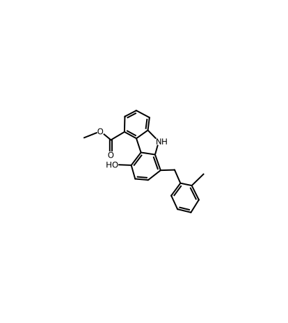 COC(=O)c1cccc2[nH]c3c(Cc4ccccc4C)ccc(O)c3c12